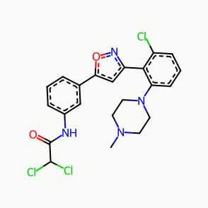 CN1CCN(c2cccc(Cl)c2-c2cc(-c3cccc(NC(=O)C(Cl)Cl)c3)on2)CC1